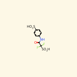 O=C(Nc1ccc(S(=O)(=O)O)cc1)C(F)(F)S(=O)(=O)O